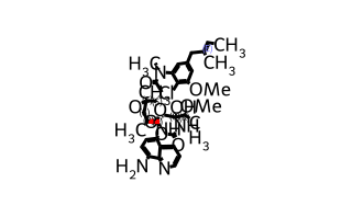 C/C=C(\C)Cc1cc(OC)c(Cl)c(N(C)C(=O)C[C@H](OC(=O)Nc2ccc(N)c3ncccc23)[C@]2(C)O[C@H]2[C@H](C)[C@@H]2C[C@](O)([C@@H](C)OC)NC(=O)O2)c1